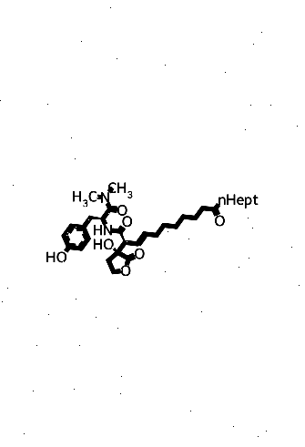 CCCCCCCC(=O)CCCCCC/C=C/[C@H](C(=O)N[C@@H](Cc1ccc(O)cc1)C(=O)N(C)C)[C@@]1(O)CCOC1=O